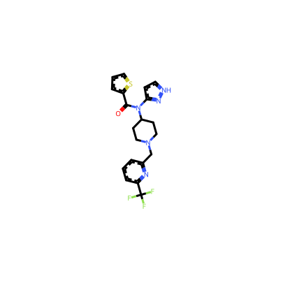 O=C(c1cccs1)N(c1cc[nH]n1)C1CCN(Cc2cccc(C(F)(F)F)n2)CC1